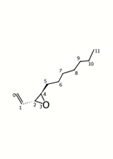 C=C[C@H]1O[C@@H]1CCCCCCC